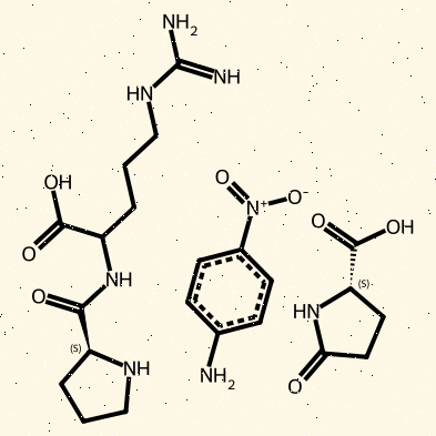 N=C(N)NCCCC(NC(=O)[C@@H]1CCCN1)C(=O)O.Nc1ccc([N+](=O)[O-])cc1.O=C1CC[C@@H](C(=O)O)N1